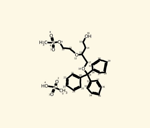 CS(=O)(=O)O.CS(=O)(=O)OCCOC(CCO)COC(c1ccccc1)(c1ccccc1)c1ccccc1